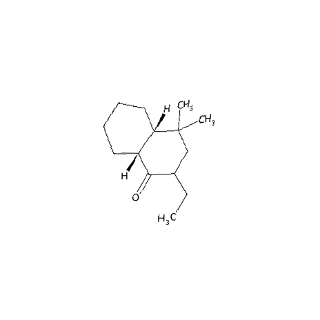 CCC1CC(C)(C)[C@H]2CCCC[C@H]2C1=O